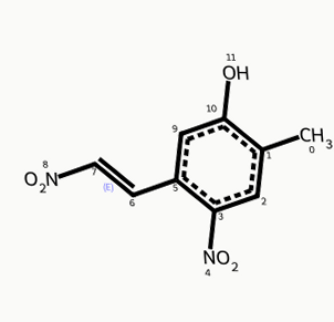 Cc1cc([N+](=O)[O-])c(/C=C/[N+](=O)[O-])cc1O